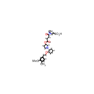 COc1cc(CCO[C@@H]2CCCC[C@H]2N2CC[C@@H](OC(=O)CCC(=O)N(C)CCS(=O)(=O)O)C2)ccc1C